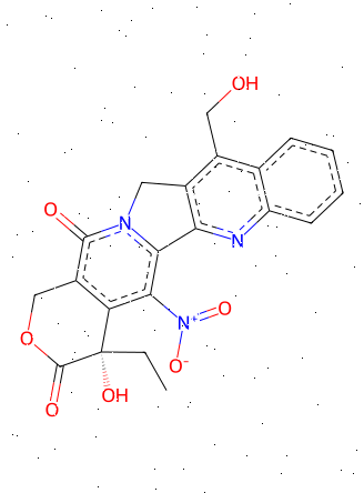 CC[C@@]1(O)C(=O)OCc2c1c([N+](=O)[O-])c1n(c2=O)Cc2c-1nc1ccccc1c2CO